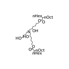 CCCCCCCCC(CCCCCC)C(=O)OCCCC[C@@H](O)CN(CCCCO)C[C@@H](O)CCCCOC(=O)C(CCCCCC)CCCCCCCC